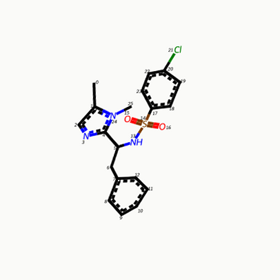 Cc1cnc(C(Cc2ccccc2)NS(=O)(=O)c2ccc(Cl)cc2)n1C